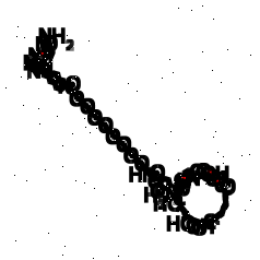 CO[C@H]1C[C@@H]2CC[C@@H](C)[C@@](O)(O2)C(=O)C(=O)N2CCCC[C@H]2C(=O)O[C@H]([C@H](N)C[C@@H]2CC[C@@H](OC(=O)NCCOCCOCCOCCOCCOCCOCCOCCOCCC(=O)N3CCc4cc(Cn5nc(-c6ccc7oc(N)nc7c6)c6c(N(C)C)ncnc65)ccc4C3)[C@H](OC)C2)C[C@@H](O)[C@H](C)/C=C(\C)[C@@H](O)[C@@H](O)C(=O)[C@H](C)C[C@H](C)/C=C/C=C/C=C/1C